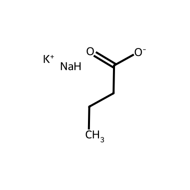 CCCC(=O)[O-].[K+].[NaH]